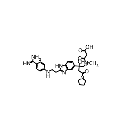 CN(CC(C)(CC(=O)N1CCCC1)c1ccc2[nH]c(CCNc3ccc(C(=N)N)cc3)nc2c1)C(=O)CC(=O)O